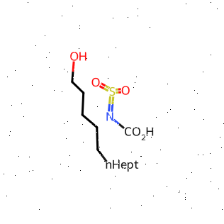 CCCCCCCCCCCCO.O=C(O)N=S(=O)=O